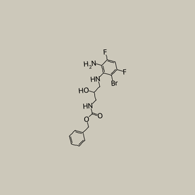 Nc1c(F)cc(F)c(Br)c1NCC(O)CNC(=O)OCc1ccccc1